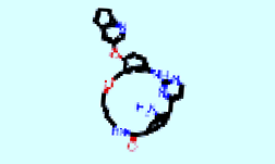 Nc1cc2ccc1-c1ccnc(n1)Nc1ccc(Oc3cnc4c(c3)C=CC4)c(c1)COCCCCNC2=O